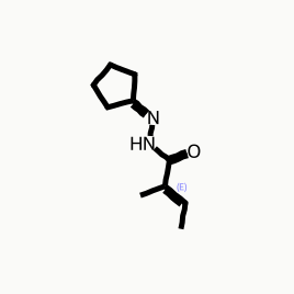 C/C=C(\C)C(=O)NN=C1CCCC1